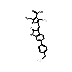 CCc1ccc(-c2ccc3c(c2)NC(=O)C3=Cc2[nH]c(C)c(C(=O)O)c2C)cc1